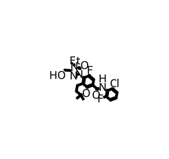 CCn1c(CO)nn(-c2c(F)cc(C(=O)Nc3c(F)cccc3Cl)c3c2CCC(C)(C)O3)c1=O